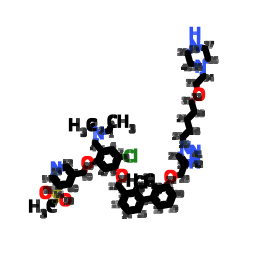 CCN(C)Cc1cc(Cl)c(OCc2cccc(-c3cccc(OCc4cn(CCCCCOCCN5CCNCC5)nn4)c3C)c2C)cc1OCc1cncc(S(C)(=O)=O)c1